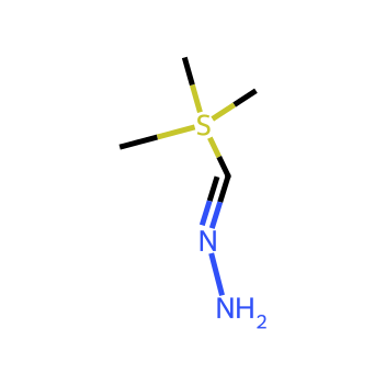 CS(C)(C)/C=N/N